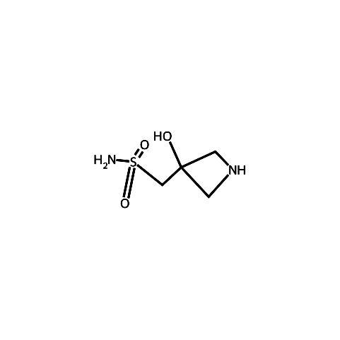 NS(=O)(=O)CC1(O)CNC1